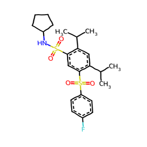 CC(C)c1cc(C(C)C)c(S(=O)(=O)c2ccc(F)cc2)cc1S(=O)(=O)NC1CCCC1